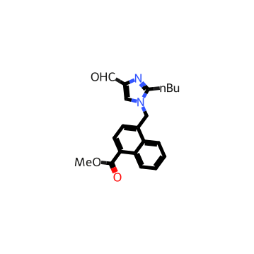 CCCCc1nc(C=O)cn1Cc1ccc(C(=O)OC)c2ccccc12